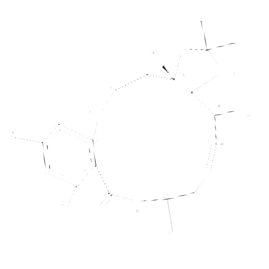 Cc1cc(C)c2c(c1)CCC[C@@H]1OC(C)(C)OC1C(O)/C=C\CC(C)OC2=O